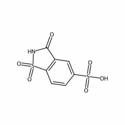 O=C1NS(=O)(=O)c2ccc(S(=O)(=O)O)cc21